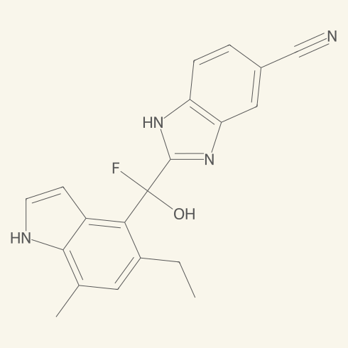 CCc1cc(C)c2[nH]ccc2c1C(O)(F)c1nc2cc(C#N)ccc2[nH]1